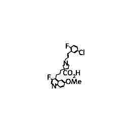 COc1ccc2ncc(F)c(CCCC3(C(=O)O)CCN(CC=Cc4cc(Cl)ccc4F)C3)c2c1